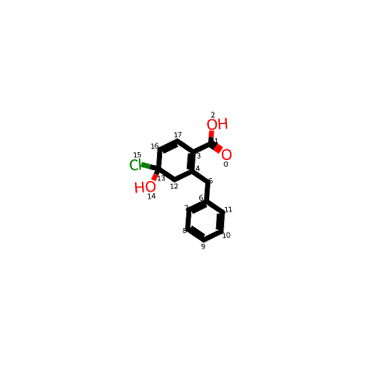 O=C(O)C1=C(Cc2ccccc2)CC(O)(Cl)C=C1